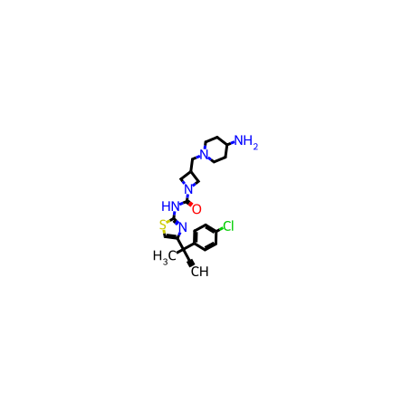 C#CC(C)(c1ccc(Cl)cc1)c1csc(NC(=O)N2CC(CN3CCC(N)CC3)C2)n1